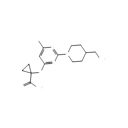 COCC1CCN(c2nc(Cl)cc(OC3(C(=O)OC)CC3)n2)CC1